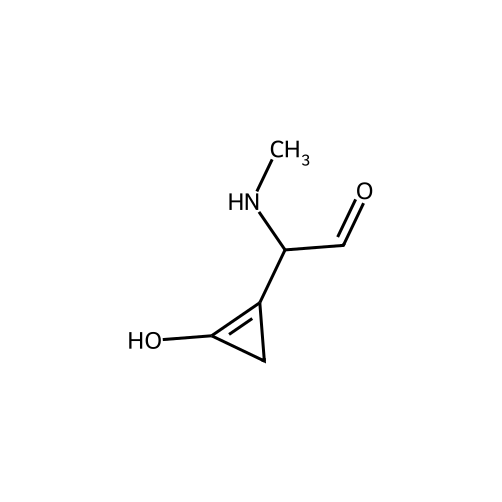 CNC(C=O)C1=C(O)C1